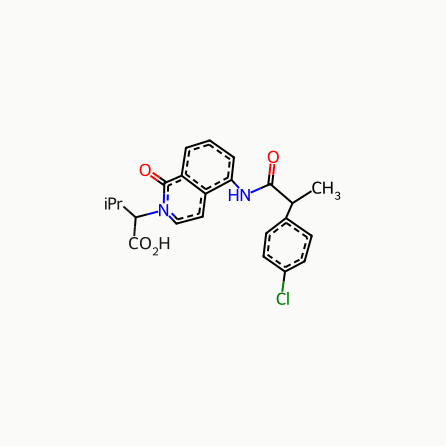 CC(C(=O)Nc1cccc2c(=O)n(C(C(=O)O)C(C)C)ccc12)c1ccc(Cl)cc1